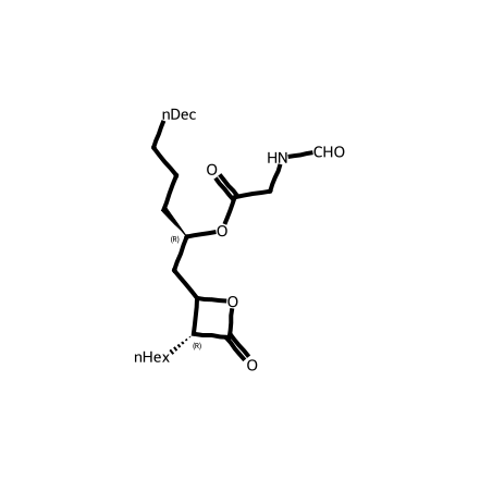 CCCCCCCCCCCCC[C@H](CC1OC(=O)[C@@H]1CCCCCC)OC(=O)CNC=O